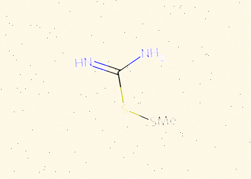 CSSC(=N)N